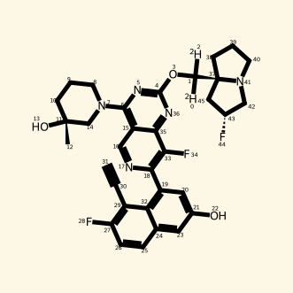 [2H]C([2H])(Oc1nc(N2CCC[C@@](C)(O)C2)c2cnc(-c3cc(O)cc4ccc(F)c(C#C)c34)c(F)c2n1)[C@@]12CCCN1C[C@H](F)C2